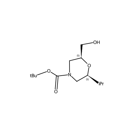 CC(C)[C@H]1CN(C(=O)OC(C)(C)C)C[C@@H](CO)O1